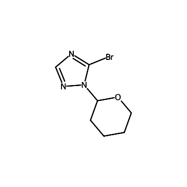 Brc1ncnn1C1CCCCO1